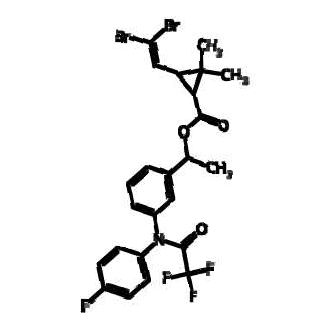 CC(OC(=O)C1C(C=C(Br)Br)C1(C)C)c1cccc(N(C(=O)C(F)(F)F)c2ccc(F)cc2)c1